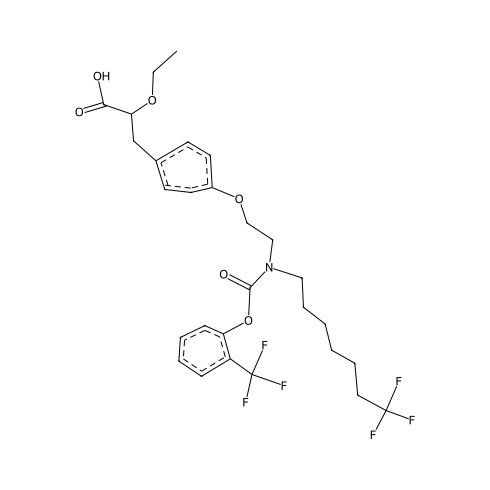 CCOC(Cc1ccc(OCCN(CCCCCCC(F)(F)F)C(=O)Oc2ccccc2C(F)(F)F)cc1)C(=O)O